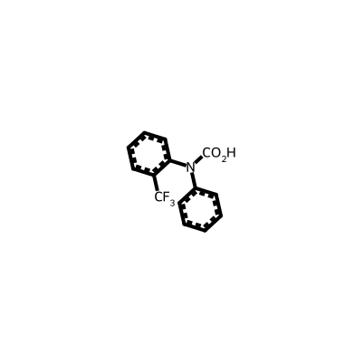 O=C(O)N(c1ccccc1)c1ccccc1C(F)(F)F